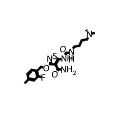 Cc1ccc(COc2nsc(NC(=O)NCCCCN(C)C)c2C(N)=O)c(F)c1